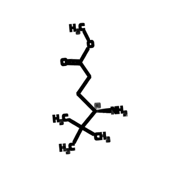 COC(=O)CC[C@@H](N)C(C)(C)C